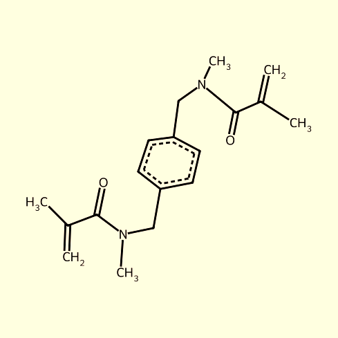 C=C(C)C(=O)N(C)Cc1ccc(CN(C)C(=O)C(=C)C)cc1